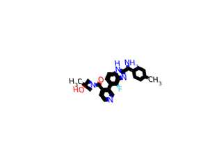 CC1CCC(C(N)c2nc3c(F)c(-c4cnccc4C(=O)N4CC(C)(O)C4)ccc3[nH]2)CC1